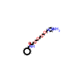 NN1CCN(CCOCCOCCOCCOCCC(=O)NCC2CCCCCCCCCC2)CC1